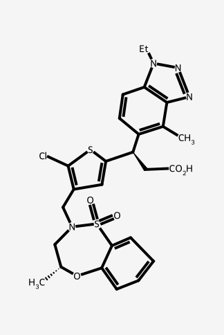 CCn1nnc2c(C)c([C@@H](CC(=O)O)c3cc(CN4C[C@@H](C)Oc5ccccc5S4(=O)=O)c(Cl)s3)ccc21